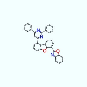 c1ccc(-c2cc(-c3cccc4oc5c(-c6nc7ccccc7o6)cccc5c34)nc(-c3ccccc3)n2)cc1